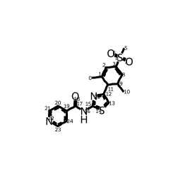 CC1=CC(S(C)(=O)=O)=CC(C)C1c1csc(NC(=O)c2ccncc2)n1